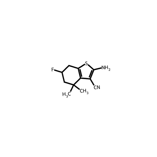 CC1(C)CC(F)Cc2sc(N)c(C#N)c21